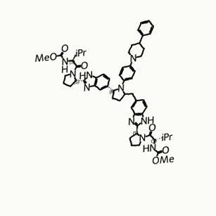 COC(=O)N[C@H](C(=O)N1CCC[C@H]1c1nc2cc(CC3CC[C@H](c4ccc5[nH]c([C@@H]6CCCN6C(=O)[C@@H](NC(=O)OC)C(C)C)nc5c4)N3c3ccc(N4CCC(c5ccccc5)CC4)cc3)ccc2[nH]1)C(C)C